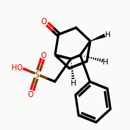 O=C1C[C@@H]2CCC1[C@H](CS(=O)(=O)O)[C@@H]2c1ccccc1